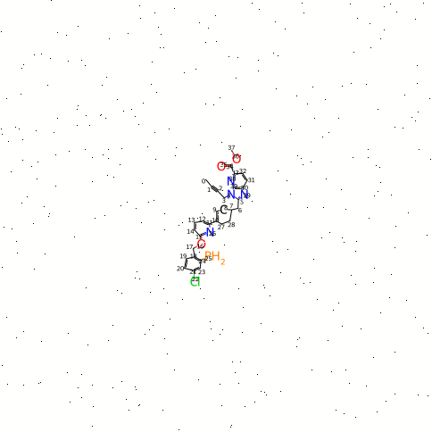 CC#CCn1c(CC2CC=C(c3cccc(OCc4ccc(Cl)cc4P)n3)CC2)nc2ccc(C(=O)OC)nc21